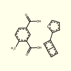 Cc1ccc(C(=O)O)cc1C(=O)O.c1csc(-c2cc3ccc2-3)c1